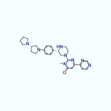 Cn1c(N2CCN[C@@H](c3ccc(N4CC[C@H](N5CCCC5)C4)cc3)C2)nc(-c2ccncn2)cc1=O